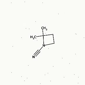 CC1(C)CCN1C#N